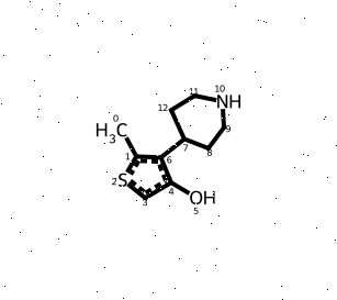 Cc1scc(O)c1C1CCNCC1